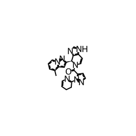 Cc1cccn2nc([C@H]3c4nc[nH]c4C=CN3C(=O)c3ccnn3C3=NC=CCC3)cc12